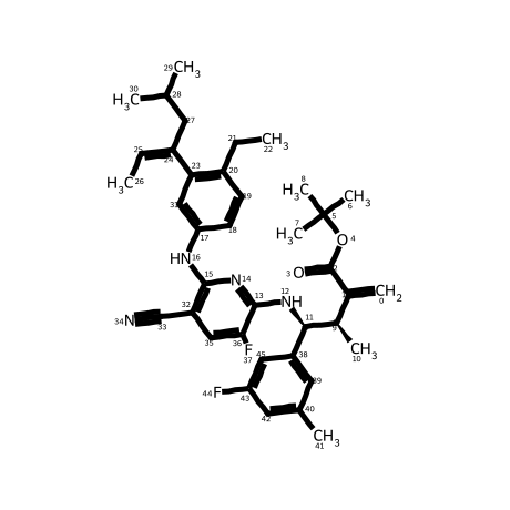 C=C(C(=O)OC(C)(C)C)[C@@H](C)[C@H](Nc1nc(Nc2ccc(CC)c(/C(=C\C)CC(C)C)c2)c(C#N)cc1F)c1cc(C)cc(F)c1